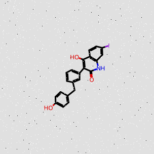 O=c1[nH]c2cc(I)ccc2c(O)c1-c1cccc(Cc2ccc(O)cc2)c1